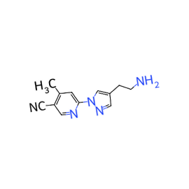 Cc1cc(-n2cc(CCN)cn2)ncc1C#N